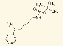 CC(C)(C)OC(=O)NCCCCC(N)c1ccccc1